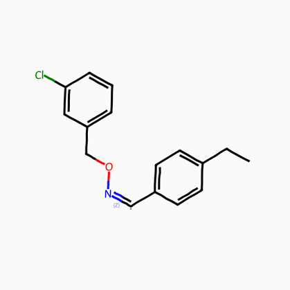 CCc1ccc(/[C]=N\OCc2cccc(Cl)c2)cc1